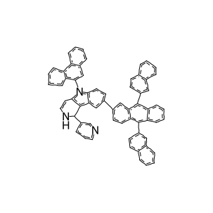 C1=Cc2c(c3cc(-c4ccc5c(-c6ccc7ccccc7c6)c6ccccc6c(-c6ccc7ccccc7c6)c5c4)ccc3n2-c2cc3ccccc3c3ccccc23)C(c2cccnc2)N1